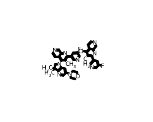 Cc1c(-c2cncc(F)c2)nc2cnccc2c1Cl.Cc1c(-c2cncc(F)c2)nc2cnccc2c1N1CC(C)(C)c2ncc(N3CCOCC3)cc21